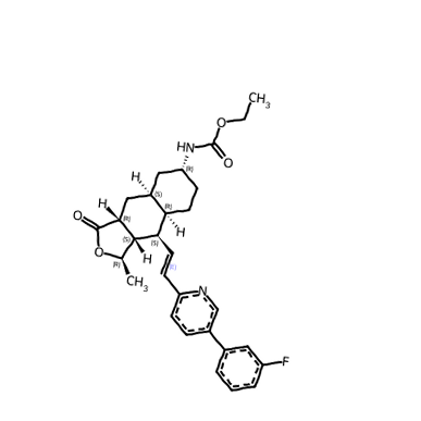 CCOC(=O)N[C@@H]1CC[C@@H]2[C@H](C1)C[C@H]1C(=O)O[C@H](C)[C@H]1[C@@H]2/C=C/c1ccc(-c2cccc(F)c2)cn1